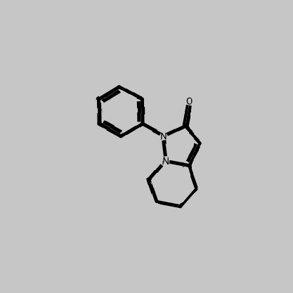 O=c1cc2n(n1-c1ccccc1)CCCC2